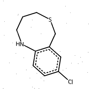 Clc1ccc2c(c1)CSCCCN2